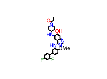 C=CC(=O)N1CCC(Nc2cc3c(Nc4cc(-c5ccc(F)cc5F)ccc4OC)ncnc3cc2O)CC1